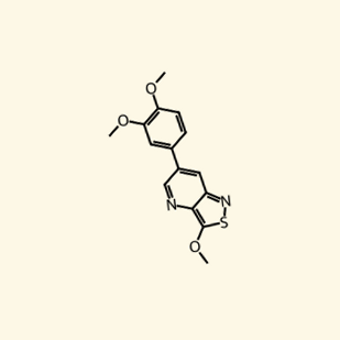 COc1ccc(-c2cnc3c(OC)snc3c2)cc1OC